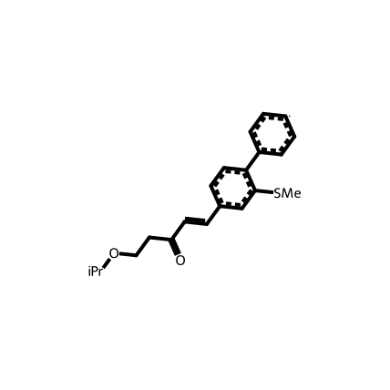 CSc1cc(C=CC(=O)CCOC(C)C)ccc1-c1cc[c]cc1